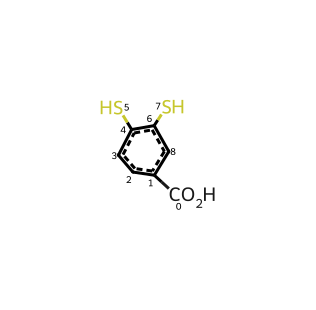 O=C(O)c1ccc(S)c(S)c1